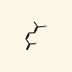 C=C(F)/C=C\C=C(/C)C(C)C